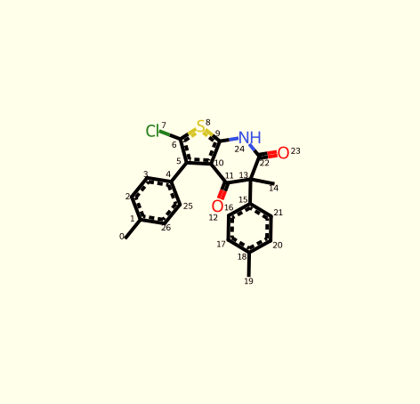 Cc1ccc(-c2c(Cl)sc3c2C(=O)C(C)(c2ccc(C)cc2)C(=O)N3)cc1